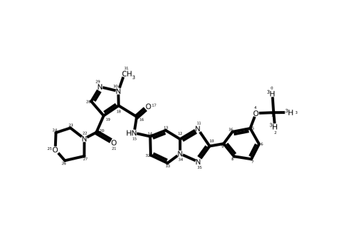 [3H]C([3H])([3H])Oc1cccc(-c2nc3cc(NC(=O)c4c(C(=O)N5CCOCC5)cnn4C)ccn3n2)c1